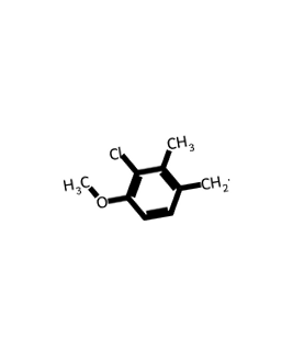 [CH2]c1ccc(OC)c(Cl)c1C